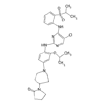 CC(C)Oc1cc(N2CCC(N3CCCC3=O)CC2)ccc1Nc1ncc(Cl)c(Nc2ccccc2S(=O)(=O)C(C)C)n1